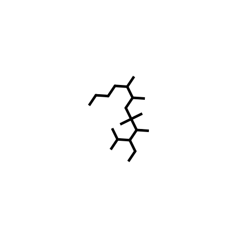 CCCCC(C)C(C)CC(C)(C)C(C)[C](CC)C(C)C